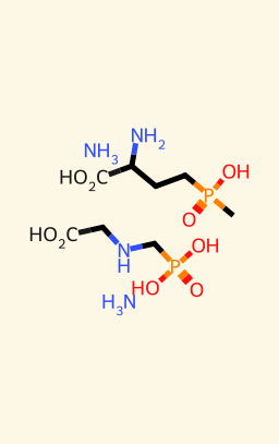 CP(=O)(O)CCC(N)C(=O)O.N.N.O=C(O)CNCP(=O)(O)O